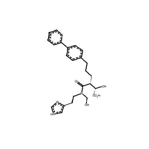 O=C(O)[C@@H](O)[C@@H](CCCc1ccc(-c2ccccc2)cc1)C(=O)N(CO)CCc1c[nH]cn1